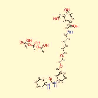 CC(=O)O.CC(=O)O.CC(=O)O.O=C(Nc1cccc(COCCOCCCCCCNC[C@H](O)c2ccc(O)c(CO)c2)c1)NC1CCCCC1